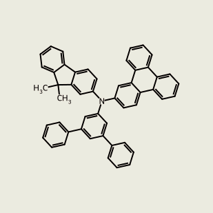 CC1(C)c2ccccc2-c2ccc(N(c3cc(-c4ccccc4)cc(-c4ccccc4)c3)c3ccc4c5ccccc5c5ccccc5c4c3)cc21